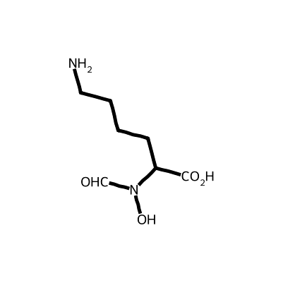 NCCCCC(C(=O)O)N(O)C=O